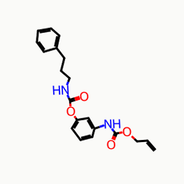 C=CCOC(=O)Nc1cccc(OC(=O)NCCCc2ccccc2)c1